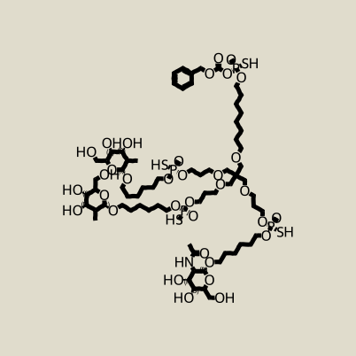 CC(=O)NC1[C@H](OCCCCCCOP(=O)(S)OCCCOCC(COCCCCCCCCOP(=O)(S)OC(=O)OCc2ccccc2)(COCCCOP(=O)(S)OCCCCCCO[C@@H]2OC(CO)[C@@H](O)[C@H](O)C2C)COCCCOP(=O)(S)OCCCCCCO[C@@H]2OC(CO)[C@@H](O)[C@H](O)C2C)OC(CO)[C@@H](O)[C@@H]1O